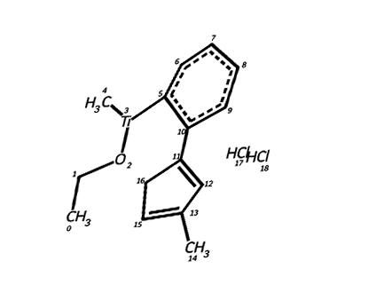 CC[O][Ti]([CH3])[c]1ccccc1C1=CC(C)=CC1.Cl.Cl